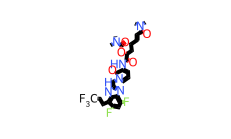 CN(C)C(=O)C=CCCC(OC(=O)N(C)C)C(=O)Nc1cccn(Cc2nc3c(F)cc(F)c(CCC(F)(F)F)c3[nH]2)c1=O